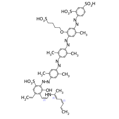 C=C/C=C\C=C(/C)N/C=C\c1c(C=C)cc(S(=O)(=O)O)c(N=Nc2cc(C)c(N=Nc3cc(C)c(N=Nc4cc(C)c(N=Nc5ccc(S(=O)(=O)O)cc5S(=O)(=O)O)cc4OCCCCS(=O)(=O)O)cc3C)cc2C)c1O